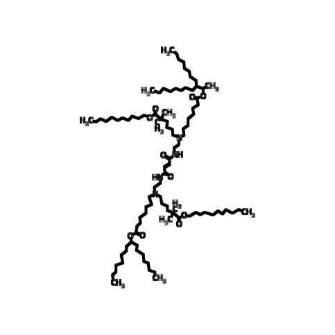 CCCCCCCCCCCOC(=O)C(C)(C)CCCCN(CCCCCCCC(=O)OC(CCCCCCCC)CCCCCCCC)CCNC(=O)/C=C/C(=O)NCCN(CCCCCCCC(=O)OC(C)C(CCCCCCCC)CCCCCCCC)CCCCC(C)(C)C(=O)OCCCCCCCCCCC